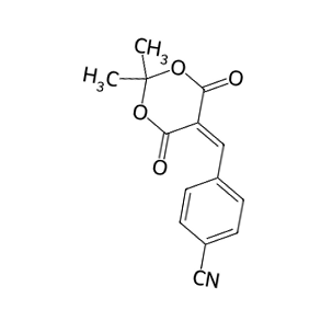 CC1(C)OC(=O)C(=Cc2ccc(C#N)cc2)C(=O)O1